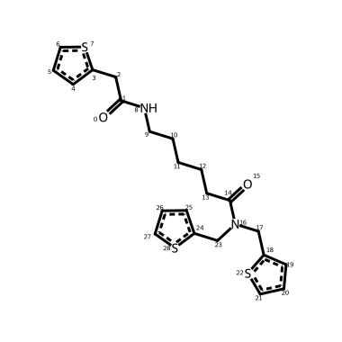 O=C(Cc1cccs1)NCCCCCC(=O)N(Cc1cccs1)Cc1cccs1